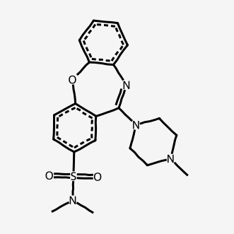 CN1CCN(C2=Nc3ccccc3Oc3ccc(S(=O)(=O)N(C)C)cc32)CC1